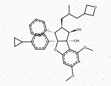 COc1cc2c(c(OC)n1)[C@]1(O)[C@H](O)[C@H](CN(C)CC3COC3)[C@@H](c3ccccc3)[C@]1(c1ccc(C3CC3)cc1)O2